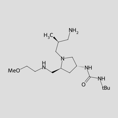 COCCNC[C@@H]1C[C@@H](NC(=O)NC(C)(C)C)CN1C[C@@H](C)CN